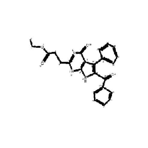 CCOC(=O)CCc1nc(=O)c2c(-c3ccccc3)c(C(=O)c3ccccc3)[nH]c2[nH]1